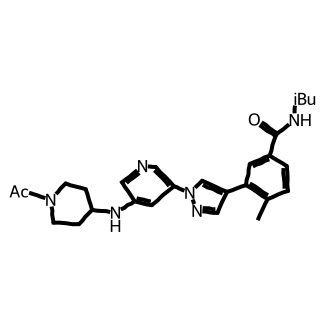 CCC(C)NC(=O)c1ccc(C)c(-c2cnn(-c3cncc(NC4CCN(C(C)=O)CC4)c3)c2)c1